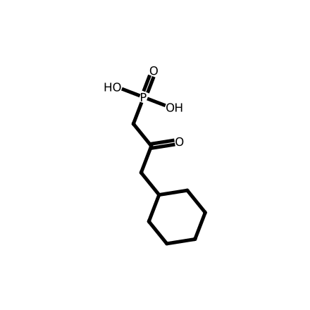 O=C(CC1CCCCC1)CP(=O)(O)O